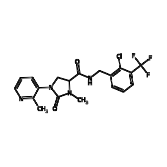 Cc1ncccc1N1CC(C(=O)NCc2cccc(C(F)(F)F)c2Cl)N(C)C1=O